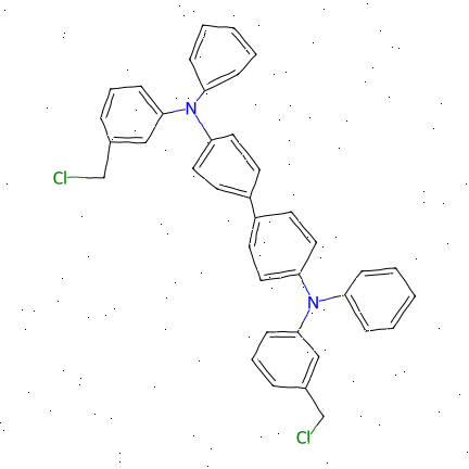 ClCc1cccc(N(c2ccccc2)c2ccc(-c3ccc(N(c4ccccc4)c4cccc(CCl)c4)cc3)cc2)c1